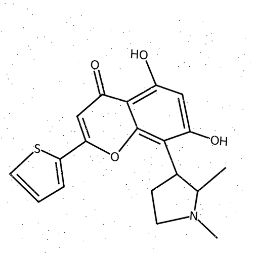 CC1C(c2c(O)cc(O)c3c(=O)cc(-c4cccs4)oc23)CCN1C